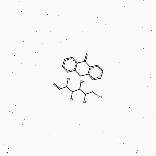 O=C1c2ccccc2Cc2ccccc21.O=CC(O)C(O)C(O)C(O)CO